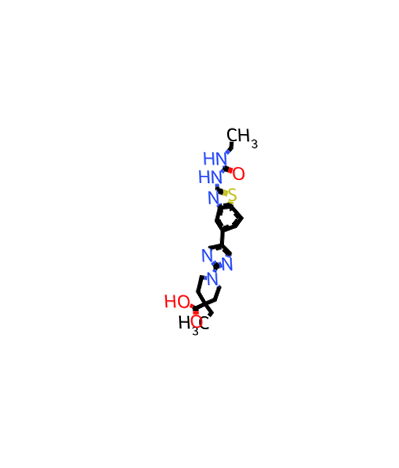 CCNC(=O)Nc1nc2cc(-c3cnc(N4CCC(CC)(C(=O)O)CC4)nc3)ccc2s1